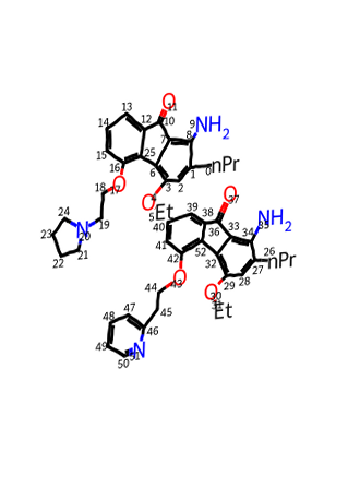 CCCc1cc(OCC)c2c(c1N)C(=O)c1cccc(OCCN3CCCC3)c1-2.CCCc1cc(OCC)c2c(c1N)C(=O)c1cccc(OCCc3ccccn3)c1-2